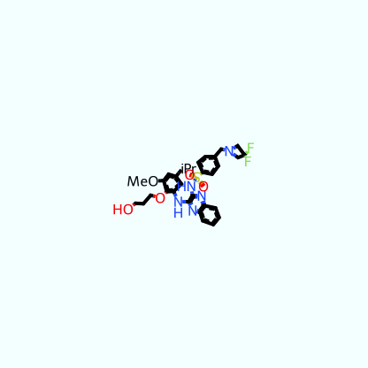 COc1cc(C(C)C)cc(Nc2nc3ccccc3nc2NS(=O)(=O)c2ccc(CN3CC(F)(F)C3)cc2)c1OCCCO